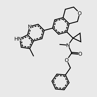 Cc1c[nH]c2ncc(-c3cc4c(c(C5(N(C)C(=O)OCc6ccccc6)CC5)c3)COCC4)cc12